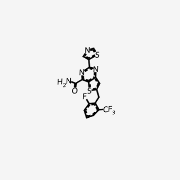 NC(=O)c1nc(-c2cncs2)nc2cc(Cc3c(F)cccc3C(F)(F)F)sc12